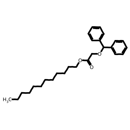 CCCCCCCCCCCCOC(=O)COC(c1ccccc1)c1ccccc1